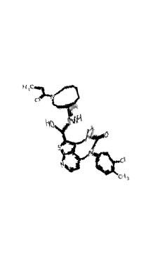 C=CC(=O)N1CCC[C@@H](NC(O)c2sc3nccc4c3c2NC(=O)N4c2ccc(C)c(Cl)c2)C1